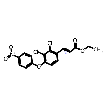 CCOC(=O)/C=C/c1ccc(Oc2ccc([N+](=O)[O-])cc2)c(Cl)c1Cl